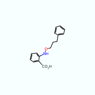 O=C(O)c1ccccc1NOCCCc1ccccc1